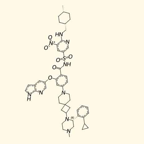 CN1CCN(C2CC3(CCN(c4ccc(C(=O)NS(=O)(=O)c5cnc(NC[C@H]6CC[C@@H](C)CC6)c([N+](=O)[O-])c5)c(Oc5cnc6[nH]ccc6c5)c4)CC3)C2)[C@H](c2ccccc2C2CC2)C1